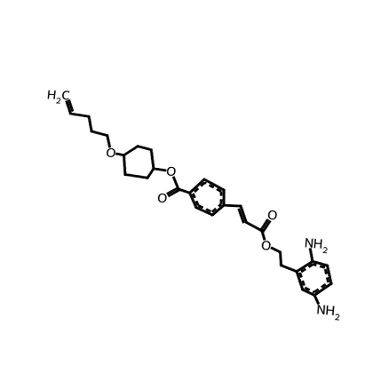 C=CCCCOC1CCC(OC(=O)c2ccc(/C=C/C(=O)OCCc3cc(N)ccc3N)cc2)CC1